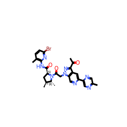 CC(=O)c1nn(CC(=O)N2[C@H](C)[C@@H](C)C[C@H]2C(=O)Nc2nc(Br)ccc2C)c2cnc(-c3cnc(C)cn3)cc12